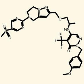 COc1ccc(Cn2ncc(NC(C)COCc3cc4n(n3)CCN(c3ncc(S(C)(=O)=O)cn3)C4)c(C(F)(F)F)c2=O)cc1